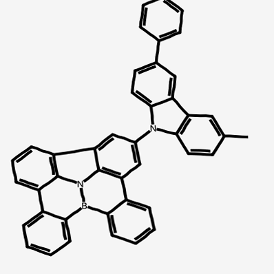 Cc1ccc2c(c1)c1cc(-c3ccccc3)ccc1n2-c1cc2c3c(c1)c1cccc4c1n3B(c1ccccc1-4)c1ccccc1-2